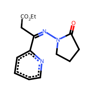 CCOC(=O)C/C(=N/N1CCCC1=O)c1ccccn1